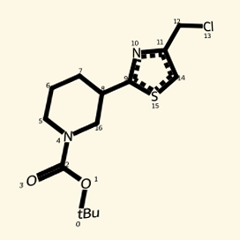 CC(C)(C)OC(=O)N1CCCC(c2nc(CCl)cs2)C1